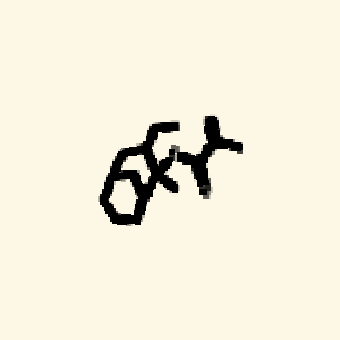 C=C(C)C(=O)OC1(C)C(CI)CC2CCCC1C2